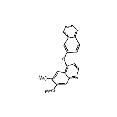 COc1cc2nccc(Oc3ccc4ccccc4c3)c2cc1OC